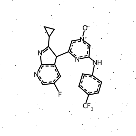 [O-][n+]1cc(Nc2ccc(C(F)(F)F)cc2)nc(C2C(C3CC3)=Nc3ncc(F)cc32)c1